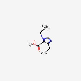 CCc1ncn(CC)c1C(=O)OC